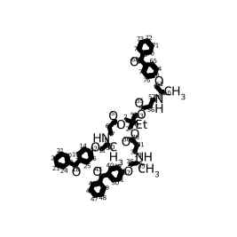 CCC(COC(=O)CCNC(C)COc1ccc(C(=O)c2ccccc2)cc1)(COC(=O)CCNC(C)COc1ccc(C(=O)c2ccccc2)cc1)COC(=O)CCNC(C)COc1ccc(C(=O)c2ccccc2)cc1